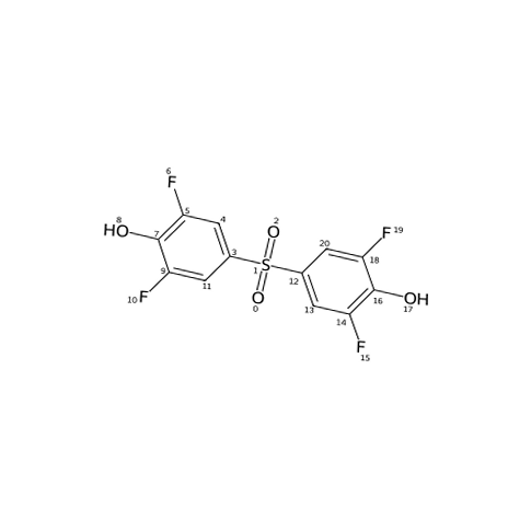 O=S(=O)(c1cc(F)c(O)c(F)c1)c1cc(F)c(O)c(F)c1